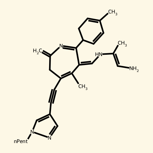 C=C1CC(C#Cc2cnn(CCCCC)c2)=C(C)/C(=C/N/C(C)=C/N)C(C2C=CC(C)=CC2)=N1